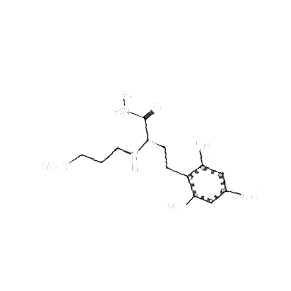 Cc1cc(C)c(CC[C@@H](NCCCS(=O)(=O)O)C(=O)NC(C)C)c(C)c1